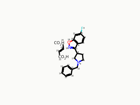 Fc1ccc2c(C3CCN(Cc4ccccc4)C3)noc2c1.O=C(O)/C=C/C(=O)O